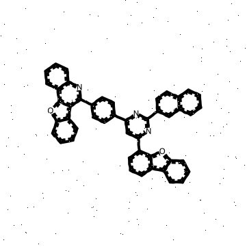 c1ccc2cc(-c3nc(-c4ccc(-c5nc6ccccc6c6oc7ccccc7c56)cc4)cc(-c4cccc5c4oc4ccccc45)n3)ccc2c1